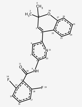 CC1(C)C=C(c2ccc(NC(=O)c3c(F)cccc3F)cn2)c2ccccc2O1